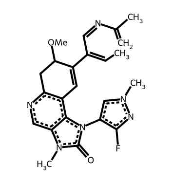 C=C(C)/N=C\C(=C/C)C1=Cc2c(ncc3c2n(-c2cn(C)nc2F)c(=O)n3C)CC1OC